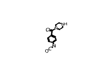 O=C=Nc1ccc(C(=O)N2CCNCC2)cc1